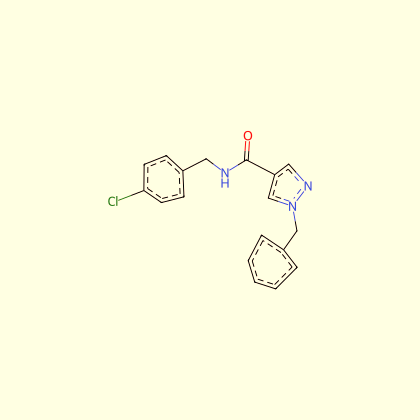 O=C(NCc1ccc(Cl)cc1)c1cnn(Cc2ccccc2)c1